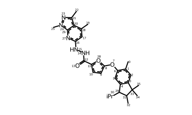 Cc1cc2c(cc1Oc1ccc(C(=O)NNc3cc(C)c4c(C)nn(C)c4n3)o1)C(C(C)C)C(C)C2(C)C